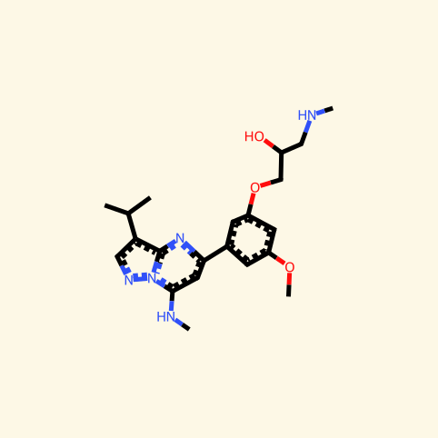 CNCC(O)COc1cc(OC)cc(-c2cc(NC)n3ncc(C(C)C)c3n2)c1